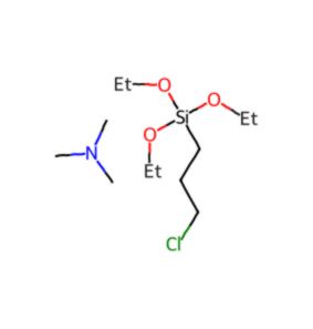 CCO[Si](CCCCl)(OCC)OCC.CN(C)C